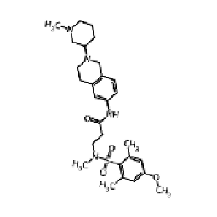 COc1cc(C)c(S(=O)(=O)N(C)CCC(=O)Nc2ccc3c(c2)CCN(C2CCCN(C)C2)C3)c(C)c1